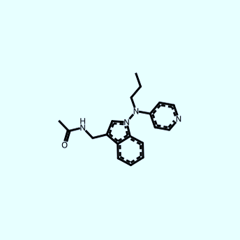 CCCN(c1ccncc1)n1cc(CNC(C)=O)c2ccccc21